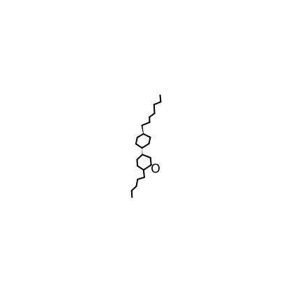 CCCCCCC[C@H]1CC[C@H](C2CCC(CCCCC)C(=O)C2)CC1